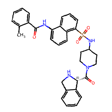 Cc1ccccc1C(=O)Nc1cccc2c(S(=O)(=O)NC3CCN(C(=O)[C@H]4NCc5ccccc54)CC3)cccc12